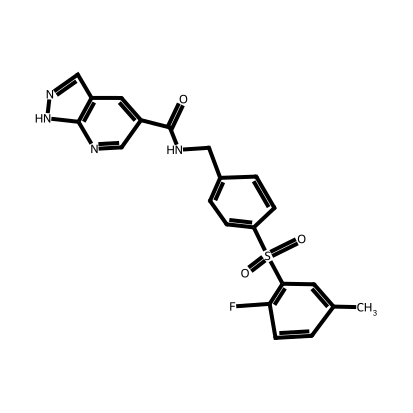 Cc1ccc(F)c(S(=O)(=O)c2ccc(CNC(=O)c3cnc4[nH]ncc4c3)cc2)c1